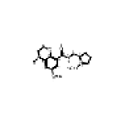 CCCCCCCCN1CCC[C@@H]1CNC(=O)c1cc(SC)cc2c1OCCN2C